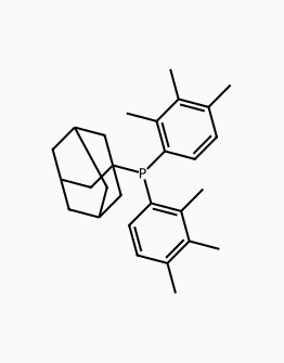 Cc1ccc(P(c2ccc(C)c(C)c2C)C23CC4CC(CC(C4)C2)C3)c(C)c1C